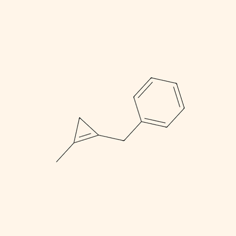 CC1=C(Cc2ccccc2)C1